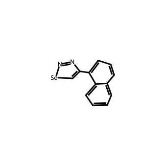 c1ccc2c(-c3c[se]nn3)cccc2c1